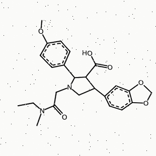 CCN(C)C(=O)CN1CC(c2ccc3c(c2)OCO3)C(C(=O)O)C1c1ccc(OC)cc1